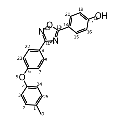 Cc1ccc(Oc2ccc(-c3noc(-c4ccc(O)cc4)n3)cc2)cc1